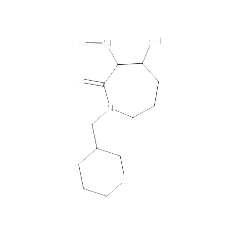 CNC1C(=O)N(CC2CCCSC2)CCCC1C